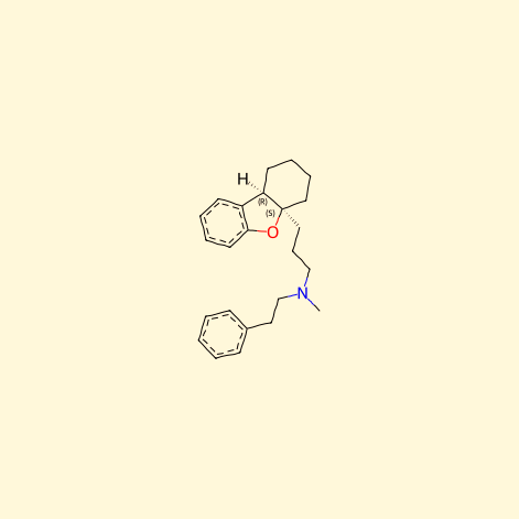 CN(CCC[C@@]12CCCC[C@@H]1c1ccccc1O2)CCc1ccccc1